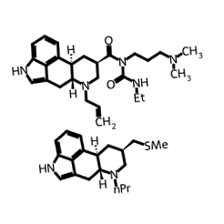 C=CCN1C[C@H](C(=O)N(CCCN(C)C)C(=O)NCC)C[C@@H]2c3cccc4[nH]cc(c34)C[C@H]21.CCCN1C[C@H](CSC)C[C@@H]2c3cccc4[nH]cc(c34)C[C@H]21